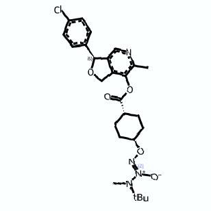 Cc1ncc2c(c1OC(=O)[C@H]1CC[C@H](O/N=[N+](\[O-])N(C)C(C)(C)C)CC1)CO[C@H]2c1ccc(Cl)cc1